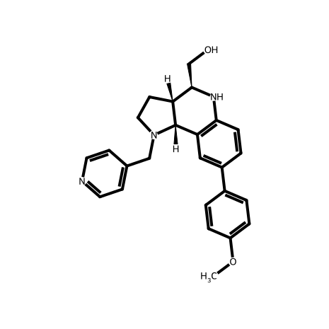 COc1ccc(-c2ccc3c(c2)[C@H]2[C@H](CCN2Cc2ccncc2)[C@@H](CO)N3)cc1